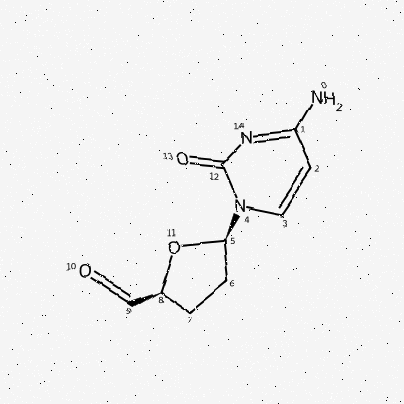 Nc1ccn([C@H]2CC[C@@H](C=O)O2)c(=O)n1